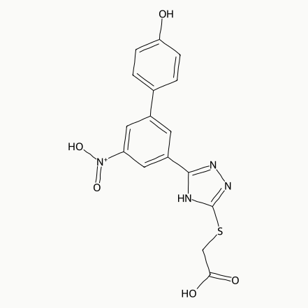 O=C(O)CSc1nnc(-c2cc(-c3ccc(O)cc3)cc([N+](=O)O)c2)[nH]1